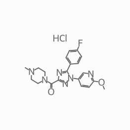 COc1ccc(-n2nc(C(=O)N3CCN(C)CC3)nc2-c2ccc(F)cc2)cn1.Cl